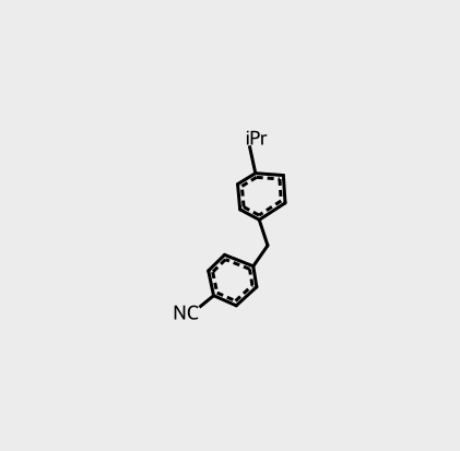 CC(C)c1ccc(Cc2ccc(C#N)cc2)cc1